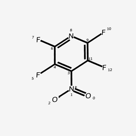 O=[N+]([O-])c1c(F)c(F)nc(F)c1F